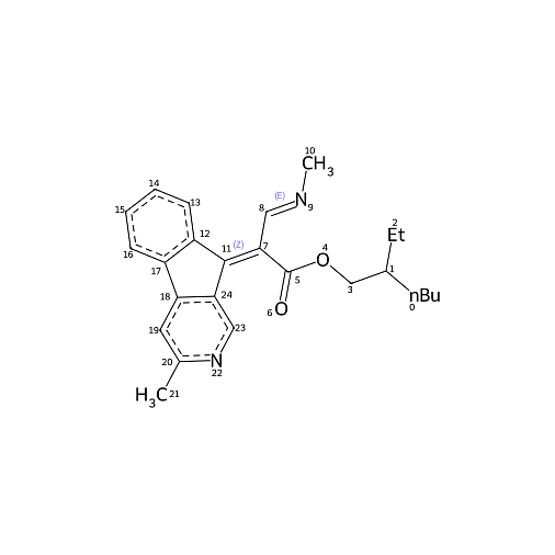 CCCCC(CC)COC(=O)C(/C=N/C)=C1/c2ccccc2-c2cc(C)ncc21